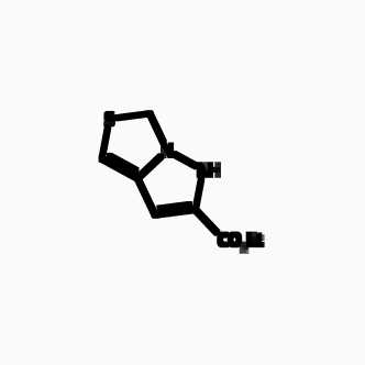 CCOC(=O)C1=CC2=CSCN2N1